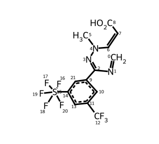 C=N/C(=N\N(C)/C=C\C(=O)O)c1cc(C(F)(F)F)cc(S(F)(F)(F)(F)F)c1